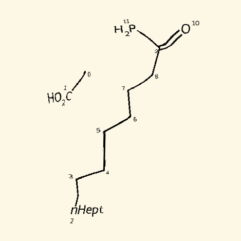 CC(=O)O.CCCCCCCCCCCCCC(=O)P